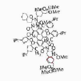 COCN(C(=O)C(CC1CCCCC1)N1C(=O)c2cc(Oc3ccc(C(C)C)cc3C)c3c4c(Oc5ccc(C(C)C)cc5C)cc5c6c(cc(Oc7ccc(C(C)C)cc7C)c(c7c(Oc8ccc(C(C)C)cc8C)cc(c2c37)C1=O)c64)C(=O)N(C(CC1CCCCC1)C(=O)N(COC)C1CCCC(C[Si](OC)(OC)OC)C1)C5=O)C1CCCC(C[Si](OC)(OC)OC)C1